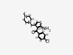 CN1CCN(Cc2csc(N)c2C(=O)c2ccc(Cl)cc2)CC1